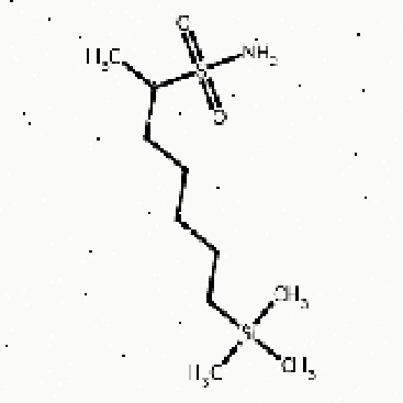 CC(CCCCC[Si](C)(C)C)S(N)(=O)=O